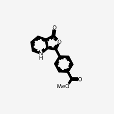 COC(=O)c1ccc(-c2oc(=O)c3ccc[nH]c2-3)cc1